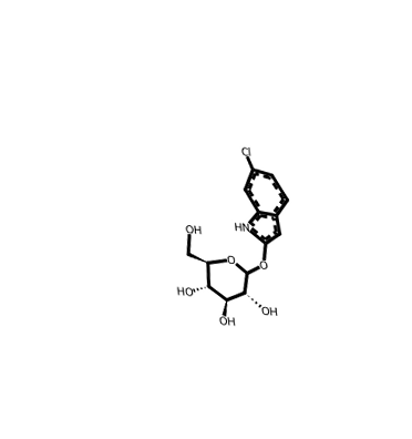 OC[C@H]1OC(Oc2cc3ccc(Cl)cc3[nH]2)[C@H](O)[C@@H](O)[C@@H]1O